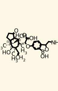 C=C[C@]1(C)C[C@@H](C(Oc2ccc3c(c2)B(O)OC3CN)C(=O)O)[C@@]2(C)[C@H](C)CC[C@]3(CCC(=O)[C@H]32)[C@@H](C)[C@@H]1O